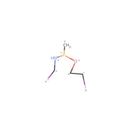 CP(NCI)OCCI